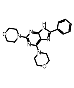 c1ccc(-c2nc3c(N4CCOCC4)nc(N4CCOCC4)nc3[nH]2)cc1